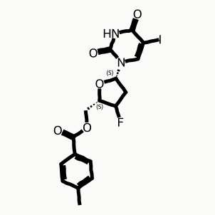 Cc1ccc(C(=O)OC[C@@H]2O[C@H](n3cc(I)c(=O)[nH]c3=O)CC2F)cc1